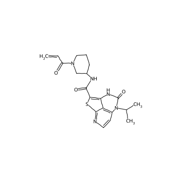 C=CC(=O)N1CCCC(NC(=O)c2sc3nccc4c3c2NC(=O)N4C(C)C)C1